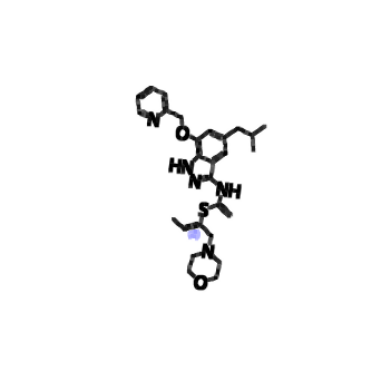 C=C(Nc1n[nH]c2c(OCc3ccccn3)cc(CC(C)C)cc12)S/C(=C\C)CN1CCOCC1